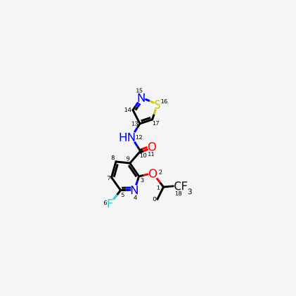 CC(Oc1nc(F)ccc1C(=O)Nc1cnsc1)C(F)(F)F